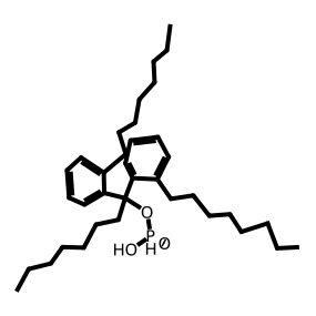 CCCCCCCCc1ccccc1C(CCCCCCC)(O[PH](=O)O)c1ccccc1CCCCCCCC